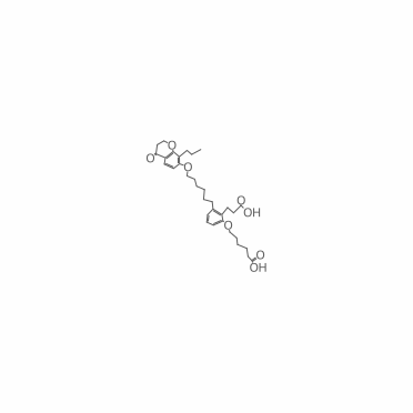 CCCc1c(OCCCCCCc2cccc(OCCCCCC(=O)O)c2CCC(=O)O)ccc2c1OCCC2=O